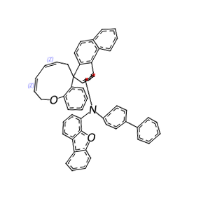 C1=C\COc2ccccc2C2(C\C=C/1)c1cc(N(c3ccc(-c4ccccc4)cc3)c3cccc4c3oc3ccccc34)ccc1-c1c2ccc2ccccc12